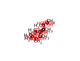 COC(C(O)C(C)=O)[C@@H]1Cc2cc3cc(OC4CC(OC5CC(O)C(O)C(C)O5)C(O)C(C)O4)c(C)c(O)c3c(O)c2C(=O)[C@H]1OC1CC(OC2CC(OC3CC(C)(O)C(O)C(C)O3)C(O)C(C)O2)C(O)C(C)O1